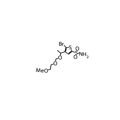 COCCOCOC(C)c1cc(S(N)(=O)=O)sc1Br